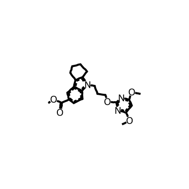 COC(=O)c1ccc2c(c1)c1c(n2CCCOc2nc(OC)cc(OC)n2)CCCC1